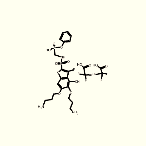 N#Cc1c(OCCCN)c(OCCCN)cc2sc(S(=O)(=O)NCP(=O)(O)Oc3ccccc3)c(F)c12.O=C(O)C(F)(F)F.O=C(O)C(F)(F)F